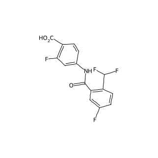 O=C(O)c1ccc(NC(=O)c2cc(F)ccc2C(F)F)cc1F